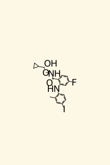 Cc1cc(I)ccc1Nc1cc(F)ccc1C(=O)NOC(O)C1CC1